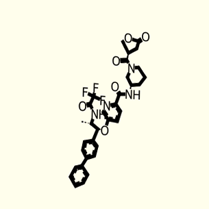 C[C@H](NC(=O)C(F)(F)F)[C@H](Oc1ccc(C(=O)N[C@H]2CCCN(C(=O)[C@H]3COC(=O)C3)C2)nc1)c1ccc(-c2ccccc2)cc1